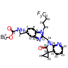 CC(C)(C)OC(=O)NCc1ccc2c(c1)nc(CN1C(=O)C3(CC3)c3cccnc31)n2CCCC(F)(F)F